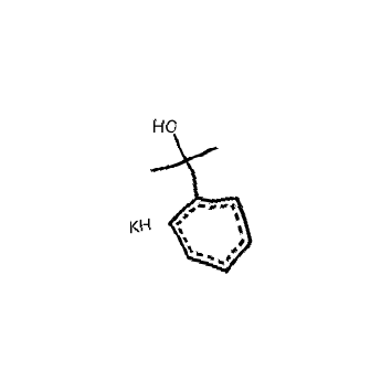 CC(C)(O)c1ccccc1.[KH]